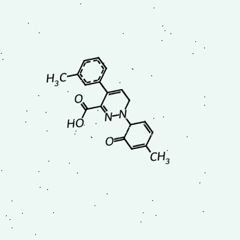 CC1=CC(=O)C(N2CC=C(c3cccc(C)c3)C(C(=O)O)=N2)C=C1